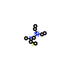 c1ccc(-c2nc3cc(-c4nc(-c5ccc6ccccc6c5)nc(-c5ccc6ccccc6c5)n4)ccc3c3c2ccc2sc4ccccc4c23)cc1